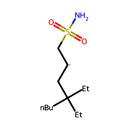 CCCCC(CC)(CC)C[CH]CS(N)(=O)=O